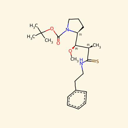 CO[C@H]([C@@H](C)C(=S)NCCc1ccccc1)[C@@H]1CCCN1C(=O)OC(C)(C)C